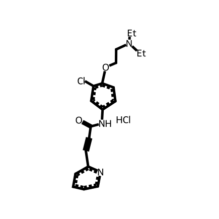 CCN(CC)CCOc1ccc(NC(=O)C#Cc2ccccn2)cc1Cl.Cl